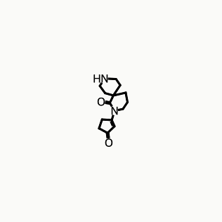 O=C1C=C(N2CCCC3(CCNCC3)C2=O)CC1